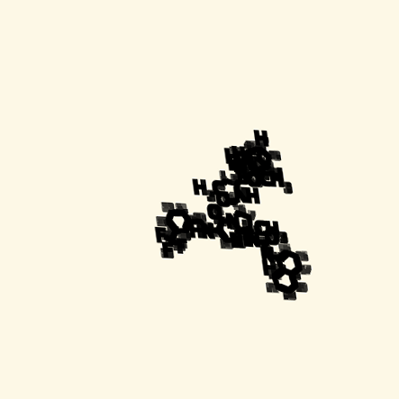 CC[C@H](NC(=O)[C@@H]1C[C@@](C)(NC(=O)Nc2cccc3ccccc23)c2ncc(NCc3cccc(C(F)(F)F)c3)c(=O)n21)B1O[C@@H]2C[C@@H]3C[C@@H](C3(C)C)[C@]2(C)O1